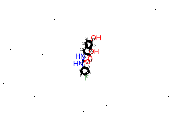 O=C(Nc1ccc(F)cc1)NC(Cc1ccc(O)cc1)C(=O)O